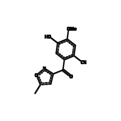 COc1cc(C#N)c(C(=O)c2cc(C)on2)cc1O